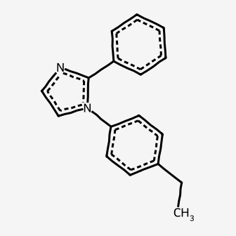 CCc1ccc(-n2ccnc2-c2ccccc2)cc1